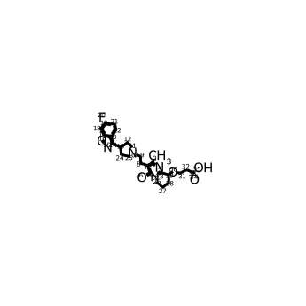 Cc1nc2n(c(=O)c1CCN1CCC(c3noc4cc(F)ccc34)CC1)CCCC2OCCC(=O)O